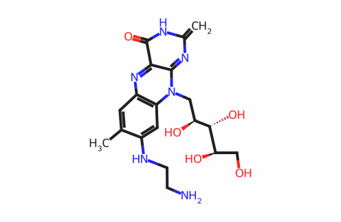 C=c1nc2c(c(=O)[nH]1)=Nc1cc(C)c(NCCN)cc1N2C[C@H](O)[C@H](O)[C@H](O)CO